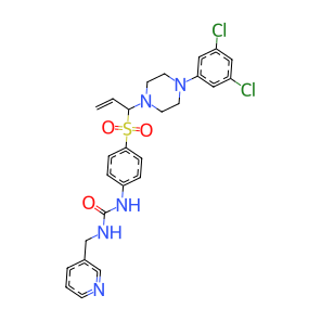 C=CC(N1CCN(c2cc(Cl)cc(Cl)c2)CC1)S(=O)(=O)c1ccc(NC(=O)NCc2cccnc2)cc1